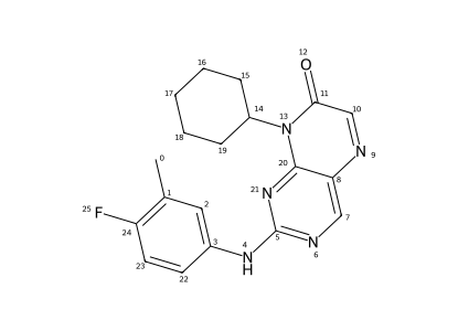 Cc1cc(Nc2ncc3ncc(=O)n(C4CCCCC4)c3n2)ccc1F